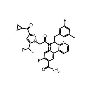 NC(=O)c1cc(-c2cccnc2[C@H](Cc2cc(F)cc(F)c2)NC(=O)Cn2nc(C(=O)C3CC3)cc2C(F)F)ccc1F